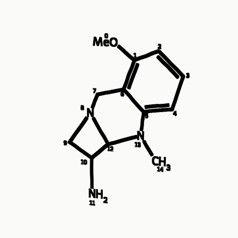 COc1cccc2c1CN1CC(N)C1N2C